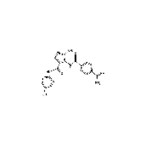 Cc1ccc(NC(=O)c2cnn(C)c2NC(=O)c2ccc(C(=N)N)cc2)nc1